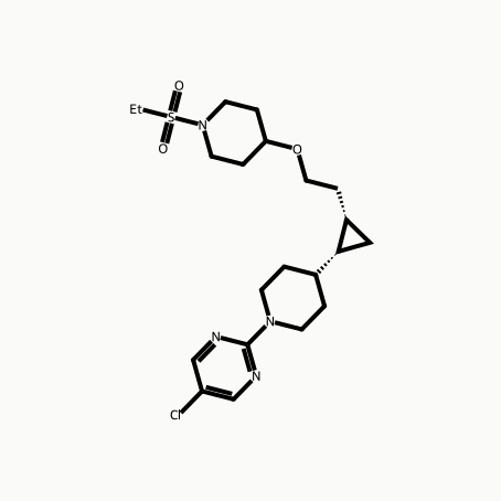 CCS(=O)(=O)N1CCC(OCC[C@@H]2C[C@@H]2C2CCN(c3ncc(Cl)cn3)CC2)CC1